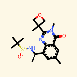 Cc1cc([C@@H](C)N[S@+]([O-])C(C)(C)C)c2nc(C3(C)COC3)n(C)c(=O)c2c1